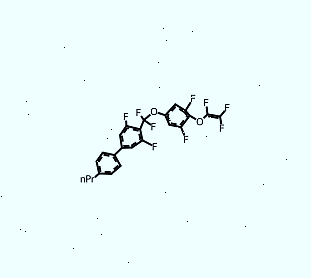 CCCc1ccc(-c2cc(F)c(C(F)(F)Oc3cc(F)c(OC(F)=C(F)F)c(F)c3)c(F)c2)cc1